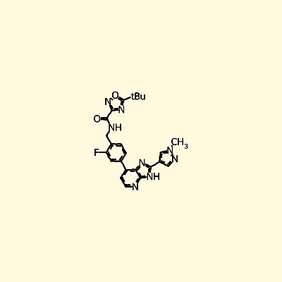 Cn1cc(-c2nc3c(-c4ccc(CNC(=O)c5noc(C(C)(C)C)n5)c(F)c4)ccnc3[nH]2)cn1